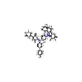 c1ccc(-c2ccc(N(c3ccc(-c4ccccc4)cc3)c3ccc(-n4c5ccccc5c5ccc6ccccc6c54)cc3)cc2)cc1